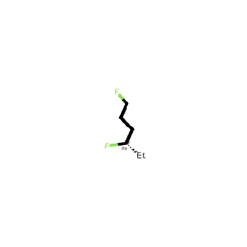 [CH2]C[C@H](F)CCCF